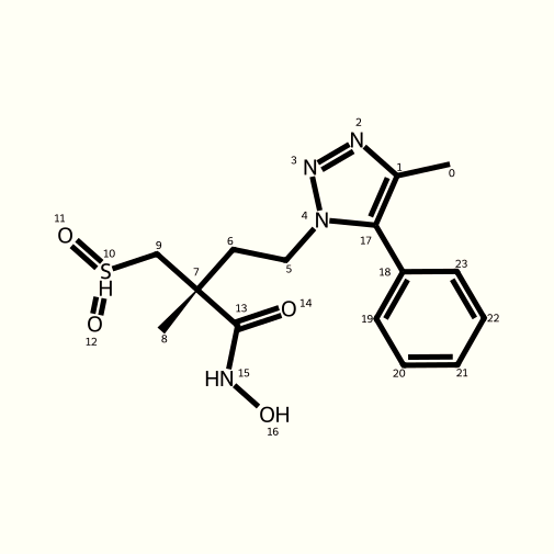 Cc1nnn(CC[C@@](C)(C[SH](=O)=O)C(=O)NO)c1-c1ccccc1